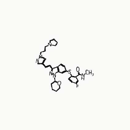 CNC(=O)c1cc(F)ccc1Sc1ccc2c(/C=C/c3cnn(CCCN4CCCC4)c3)nn(C3CCCCO3)c2c1